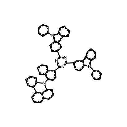 c1ccc(-n2c3ccccc3c3cc(-c4nc(-c5ccc6c(c5)c5ccccc5n6-c5ccccc5)nc(-c5ccc(N6c7ccccc7-c7cccc8cccc6c78)c6ccccc56)n4)ccc32)cc1